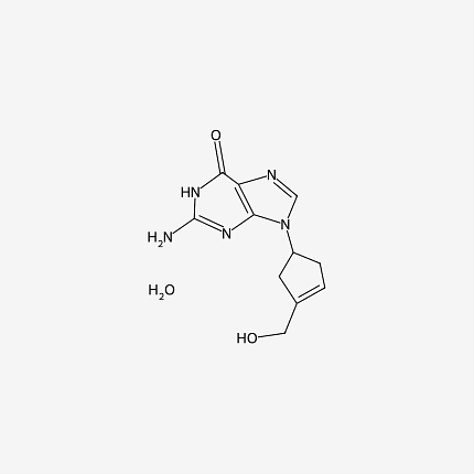 Nc1nc2c(ncn2C2CC=C(CO)C2)c(=O)[nH]1.O